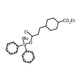 CCOC(=O)C1CCC(CCC(Cl)O[Si](c2ccccc2)(c2ccccc2)C(C)(C)C)CC1